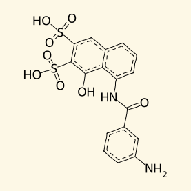 Nc1cccc(C(=O)Nc2cccc3cc(S(=O)(=O)O)c(S(=O)(=O)O)c(O)c23)c1